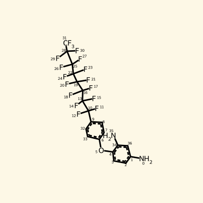 Nc1ccc(Oc2ccc(C(F)(F)C(F)(F)C(F)(F)C(F)(F)C(F)(F)C(F)(F)C(F)(F)C(F)(F)F)cc2)c(N)c1